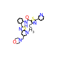 Cc1nc(-c2cccnc2)sc1C(=O)Nc1ccccc1-c1nc2cc(CN3CCOCC3)cnc2s1